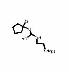 CCCCCCCCCNC(O)OC1(CC)CCCC1